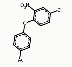 CC(=O)c1ccc(Oc2ccc(Cl)cc2[N+](=O)[O-])cc1